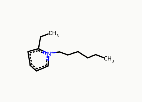 CCCCCC[n+]1ccccc1CC